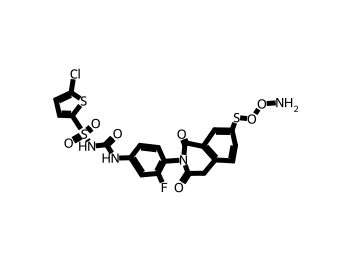 NOOSc1ccc2c(c1)C(=O)N(c1ccc(NC(=O)NS(=O)(=O)c3ccc(Cl)s3)cc1F)C(=O)C2